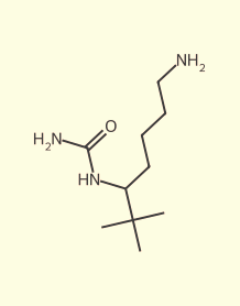 CC(C)(C)C(CCCCN)NC(N)=O